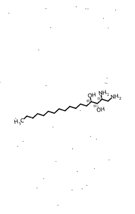 CCCCCCCCCCCCC[C@@H](O)[C@@H](O)[C@@H](N)CN